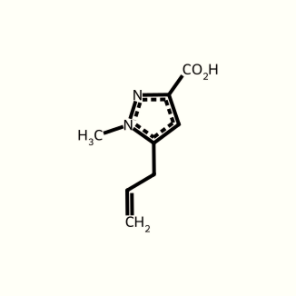 C=CCc1cc(C(=O)O)nn1C